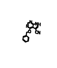 N#Cc1c[nH]c2ncnc(OCc3ccccc3)c12